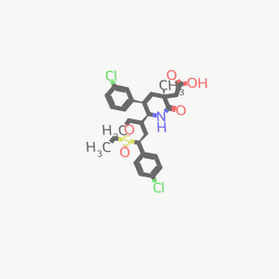 CCC(C[C@@H](c1ccc(Cl)cc1)S(=O)(=O)CC)[C@@H]1NC(=O)[C@](C)(CC(=O)O)C[C@@H]1c1cccc(Cl)c1